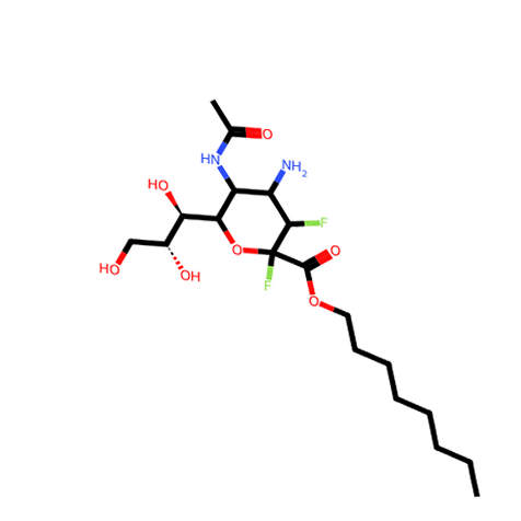 CCCCCCCCOC(=O)C1(F)OC([C@H](O)[C@H](O)CO)C(NC(C)=O)C(N)C1F